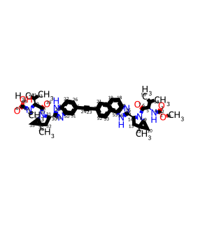 COC(=O)N[C@H](C(=O)N1C2C[C@@]2(C)C[C@H]1c1nc2ccc3cc(C#Cc4ccc5[nH]c([C@@H]6C[C@@]7(C)CC7N6C(=O)[C@H](C(C)C)N(C)C(=O)O)nc5c4)ccc3c2[nH]1)C(C)C